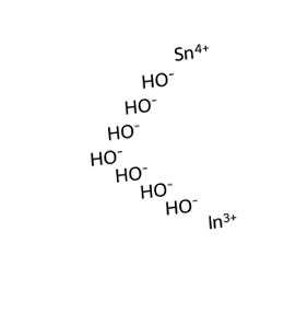 [In+3].[OH-].[OH-].[OH-].[OH-].[OH-].[OH-].[OH-].[Sn+4]